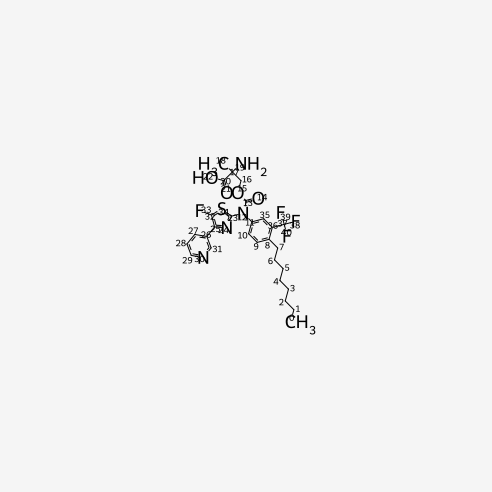 CCCCCCCCc1ccc(N(C(=O)OCC(C)(N)C(=O)O)c2nc(-c3cccnc3)c(F)s2)cc1C(F)(F)F